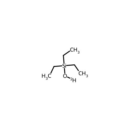 [2H]O[Si](CC)(CC)CC